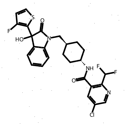 O=C(N[C@H]1CC[C@H](CN2C(=O)C(O)(c3sccc3F)c3ccccc32)CC1)c1cc(Cl)cnc1C(F)F